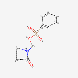 O=C1CCN1COS(=O)(=O)c1ccccc1